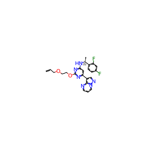 C=CCOCCOc1nc(N[C@@H](C)c2ccc(F)cc2F)cc(-c2cnn3cccnc23)n1